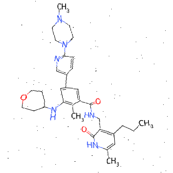 CCCc1cc(C)[nH]c(=O)c1CNC(=O)c1cc(-c2ccc(N3CCN(C)CC3)nc2)cc(NC2CCOCC2)c1C